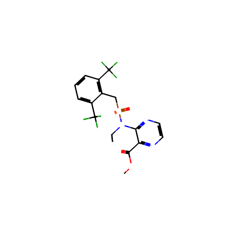 CCN(c1nccnc1C(=O)OC)S(=O)(=O)Cc1c(C(F)(F)F)cccc1C(F)(F)F